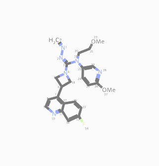 C=N/N=C(/N1CC(c2ccnc3cc(F)ccc23)C1)N(CCOC)c1ccc(OC)nc1